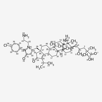 C=C(CC(C)(C)C(=O)O)O[C@H]1CC[C@]2(C)[C@H]3CCC4C5=C(C(C)C)C(=O)C[C@]5(Cc5cc(=O)n(-c6ccc(Cl)cc6)n5CCN)CC[C@@]4(C)[C@@]3(C)CC[C@H]2C1(C)C